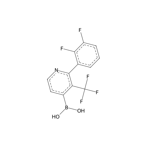 OB(O)c1ccnc(-c2cccc(F)c2F)c1C(F)(F)F